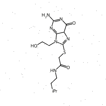 CC(C)CCNC(=O)CSC1=NC2C(=O)N=C(N)N=C2N1CCO